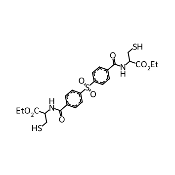 CCOC(=O)C(CS)NC(=O)c1ccc(S(=O)(=O)c2ccc(C(=O)NC(CS)C(=O)OCC)cc2)cc1